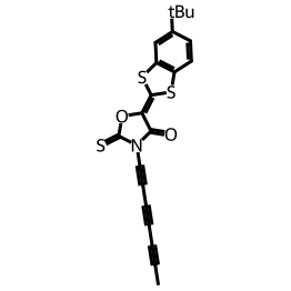 CC#CC#CC#CN1C(=O)/C(=C2\Sc3ccc(C(C)(C)C)cc3S2)OC1=S